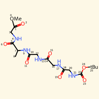 COC(=O)CNC(=O)C(C)NC(=O)CNC(=O)CNC(=O)CNC(=O)OC(C)(C)C